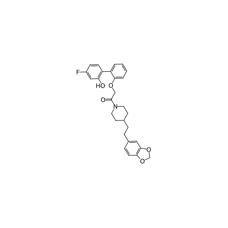 O=C(COc1ccccc1-c1ccc(F)cc1O)N1CCC(CCc2ccc3c(c2)OCO3)CC1